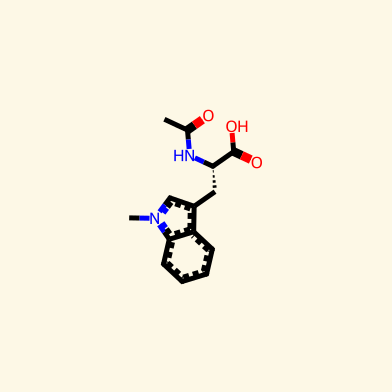 CC(=O)N[C@@H](Cc1cn(C)c2ccccc12)C(=O)O